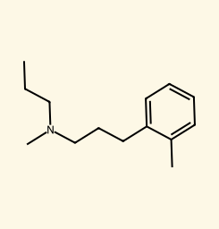 CCCN(C)CCCc1ccccc1C